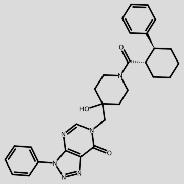 O=C([C@H]1CCCC[C@@H]1c1ccccc1)N1CCC(O)(Cn2cnc3c(nnn3-c3ccccc3)c2=O)CC1